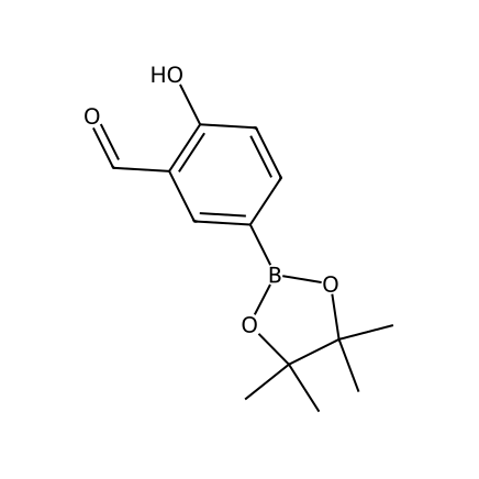 CC1(C)OB(c2ccc(O)c(C=O)c2)OC1(C)C